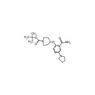 CC(C)(C)OC(=O)N1CCC(Oc2cnc(N3CCCC3)cc2C(N)=O)CC1